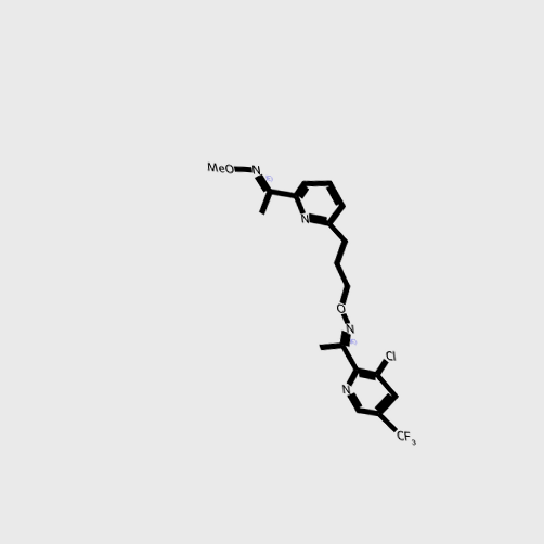 CO/N=C(\C)c1cccc(CCCO/N=C(\C)c2ncc(C(F)(F)F)cc2Cl)n1